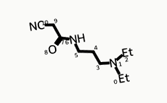 CCN(CC)CCCNC(=O)CC#N